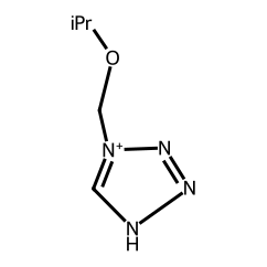 CC(C)OC[n+]1c[nH]nn1